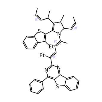 C/C=C\C(C)C1=C(c2sc3ccccc3c2CC)N(/C(C)=C/C=C(\CC)c2nc(-c3ccccc3)c3sc4ccccc4c3n2)C(/C=C\C)C1C